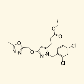 CCOC(=O)CCc1cc(OCc2nnc(C)o2)nn1Cc1ccc(Cl)cc1Cl